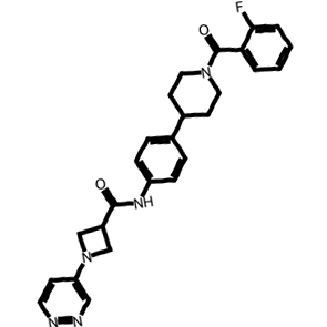 O=C(Nc1ccc(C2CCN(C(=O)c3ccccc3F)CC2)cc1)C1CN(c2ccnnc2)C1